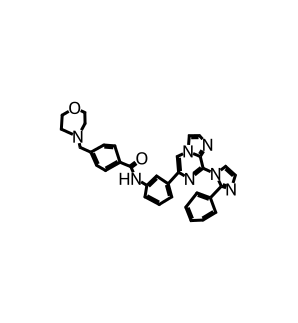 O=C(Nc1cccc(-c2cn3ccnc3c(-n3ccnc3-c3ccccc3)n2)c1)c1ccc(CN2CCOCC2)cc1